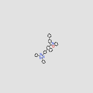 c1ccc(-c2ccc3c(-c4ccc(-c5ccc(-c6nc(-c7ccccc7)nc(-c7ccccc7)n6)cc5)c5ccccc45)c4oc5ccccc5n4c3c2)cc1